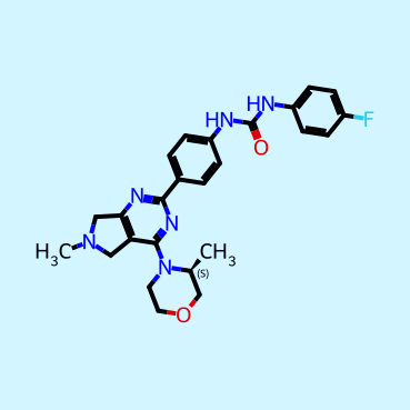 C[C@H]1COCCN1c1nc(-c2ccc(NC(=O)Nc3ccc(F)cc3)cc2)nc2c1CN(C)C2